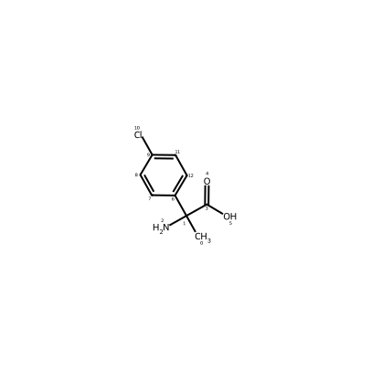 CC(N)(C(=O)O)c1ccc(Cl)cc1